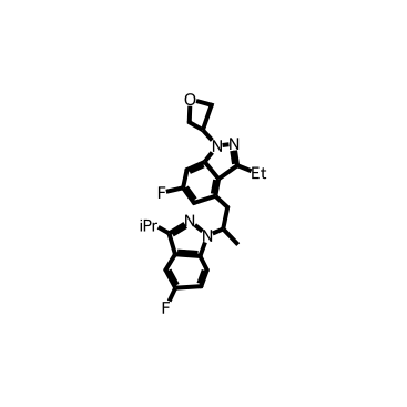 CCc1nn(C2COC2)c2cc(F)cc(CC(C)n3nc(C(C)C)c4cc(F)ccc43)c12